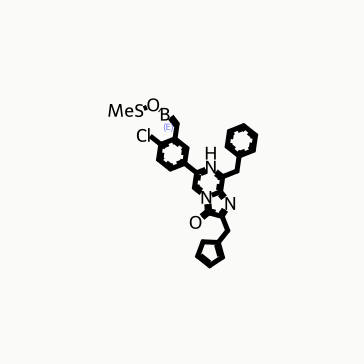 CSO/B=C/c1cc(-c2cn3c(=O)c(CC4=CC=CC4)nc-3c(Cc3ccccc3)[nH]2)ccc1Cl